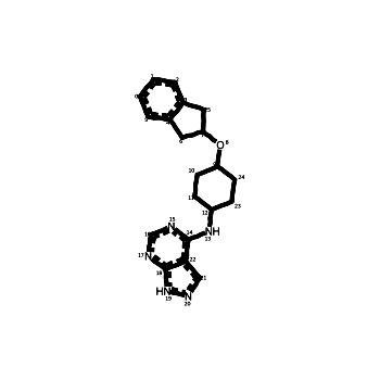 c1ccc2c(c1)CC(OC1CCC(Nc3ncnc4[nH]ncc34)CC1)C2